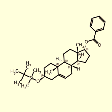 CC(C)(C)[Si](C)(C)O[C@H]1CC[C@@]2(C)C(=CC[C@H]3[C@@H]4CC[C@@H](OC(=O)c5ccccc5)[C@@]4(C)CC[C@@H]32)C1